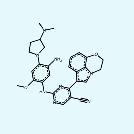 COc1cc(N2CCC(N(C)C)C2)c(N)cc1Nc1ncc(C#N)c(-c2cn3c4c(cccc24)OCC3)n1